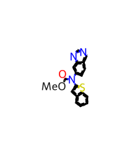 COC(=O)N(c1ccc2cncnc2c1)c1cc2ccccc2s1